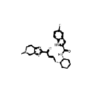 CN1CCc2nc(C(=O)/C=C/C[C@H]3CCCC[C@H]3NC(=O)c3cc4cc(Cl)ccc4[nH]3)sc2C1